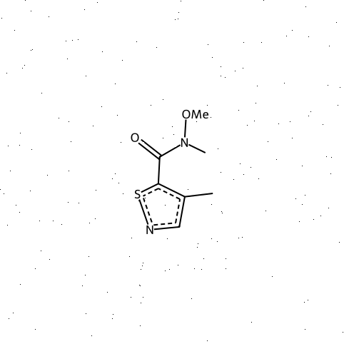 CON(C)C(=O)c1sncc1C